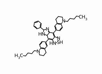 CCCCCN1CCCc2cc(C3=C4N=[SH]NC4=C(c4ccc5c(c4)CCCN5CCCCC)C4NC(c5ccccc5)N=C34)ccc21